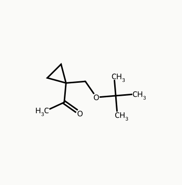 CC(=O)C1(COC(C)(C)C)CC1